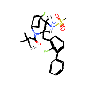 CC(=O)OC(C)(C)C(=O)N1C2CC(F)(C2)[C@H](NS(C)(=O)=O)[C@@H]1Cc1cccc(-c2ccccc2)c1F